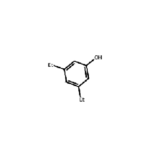 CCc1[c]c(CC)cc(O)c1